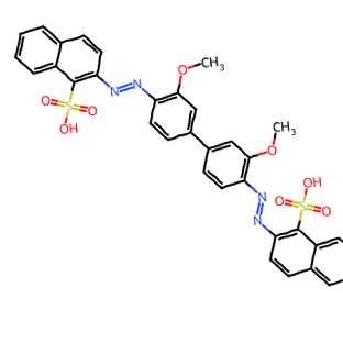 COc1cc(-c2ccc(N=Nc3ccc4ccccc4c3S(=O)(=O)O)c(OC)c2)ccc1N=Nc1ccc2ccccc2c1S(=O)(=O)O